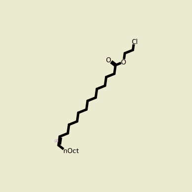 CCCCCCCC/C=C\CCCCCCCCCCCC(=O)OCCCl